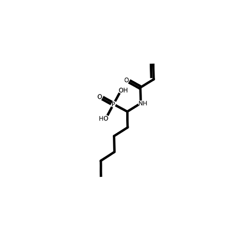 C=CC(=O)NC(CCCCC)P(=O)(O)O